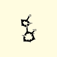 Clc1c[c]n(-c2ncccc2Cl)n1